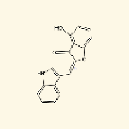 O=C1/C(=C\c2c[nH]c3ccccc23)Oc2cccc(O)c21